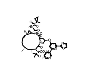 C[C@@H]1CC/C=C\[C@@H]2C[C@@]2(C(=O)NS(=O)(=O)C2(C)CC2)NC(=O)[C@@H]2C[C@@H](Oc3cc(-c4cccnc4)nc(-c4nccs4)c3)CN2C(=O)[C@@H](N(C(=O)O)C(C)(C)C(F)(F)F)[C@H](C)C1